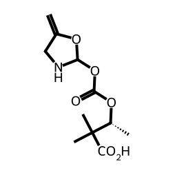 C=C1CNC(OC(=O)O[C@H](C)C(C)(C)C(=O)O)O1